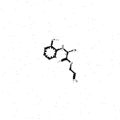 C=CCOC(=O)[C@H](C)Nc1ccccc1CCCCC